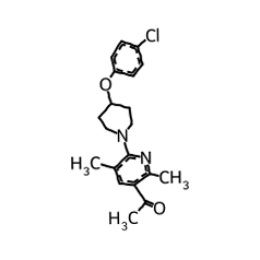 CC(=O)c1cc(C)c(N2CCC(Oc3ccc(Cl)cc3)CC2)nc1C